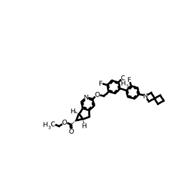 CCOC(=O)[C@H]1[C@@H]2Cc3cc(OCc4cc(-c5ccc(N6CC7(CCC7)C6)cc5F)c(C)cc4F)ncc3[C@@H]21